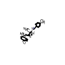 N#Cc1c(Nc2ccc(Cl)cc2)n[nH]c1/N=C/c1ccc(O)cc1